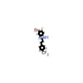 Fc1cc2[nH]c(/C=C/c3ccc(C(F)(F)F)cc3)nc2cc1Br